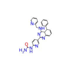 NC(=O)Nc1ccc(C2=NC3=CC=CC(c4ccccc4)C3C(NCc3ccccn3)=N2)cn1